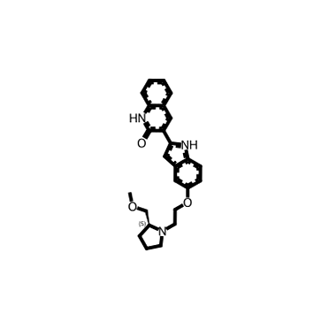 COC[C@@H]1CCCN1CCOc1ccc2[nH]c(-c3cc4ccccc4[nH]c3=O)cc2c1